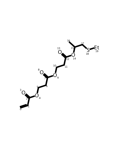 C=CC(=O)OCCC(=O)OCCC(=O)OC(C)CSCC